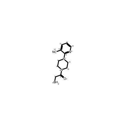 BCC(=O)N1CCN(c2ncccc2C#N)CC1